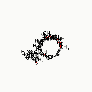 CN[C@@H](Cc1ccsc1)C(=O)N[C@@H](Cc1csc2ccccc12)C(=O)N[C@@H](CCC(=O)NCCCC[C@@H]1NC(=O)[C@H](Cc2ccccc2)NC(=O)[C@H](C)NC(=O)C(C)(C)NC(=O)[C@H](Cc2cccc(C(=O)O)c2)NC(=O)[C@H](CC(=O)O)NC(=O)NC(O)[C@H](C2CCCCC2)NC(=O)[C@H](CC(=O)O)NC(=O)[C@]2(C/C=C\CCCCCC/C=C\CCCOC(=O)N3CC[C@@H](C3)NC1=O)CCCN2C(C)=O)C(=O)N[C@@H](C)C(N)=O